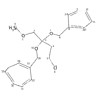 [SiH3]OCC(CCCl)(OCc1ccccc1)OCc1ccccc1